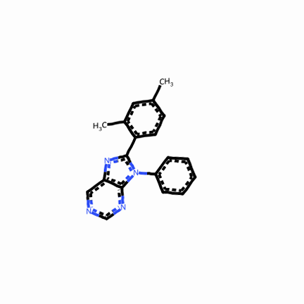 Cc1ccc(-c2nc3cncnc3n2-c2ccccc2)c(C)c1